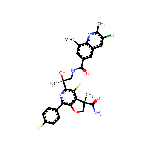 COc1cc(C(=O)NC[C@](O)(c2nc(-c3ccc(F)cc3)c3c(c2F)[C@](C)(C(N)=O)CO3)C(F)(F)F)cc2cc(Cl)c(C)nc12